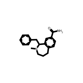 CN1CCCc2ccc(C(N)=O)cc2C1Cc1ccccc1